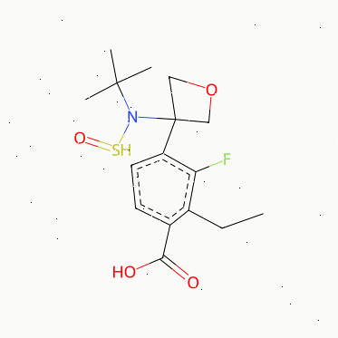 CCc1c(C(=O)O)ccc(C2(N([SH]=O)C(C)(C)C)COC2)c1F